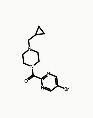 O=C(c1ncc(Br)cn1)N1CCN(CC2CC2)CC1